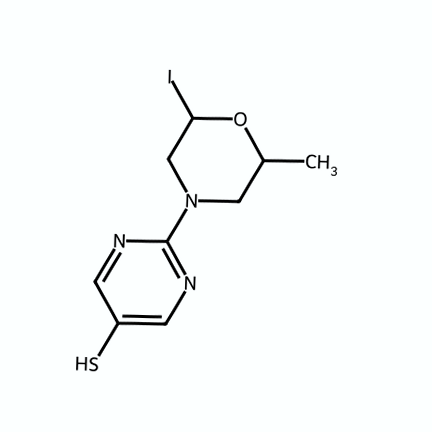 CC1CN(c2ncc(S)cn2)CC(I)O1